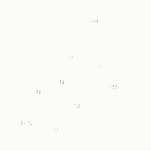 COC(C)(C)OC(C)[C@@H](CO)OCn1cnc(C(N)=O)c1N